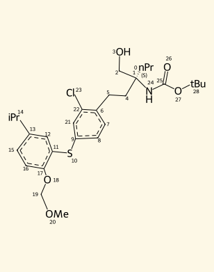 CCC[C@@](CO)(CCc1ccc(Sc2cc(C(C)C)ccc2OCOC)cc1Cl)NC(=O)OC(C)(C)C